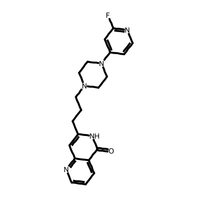 O=c1[nH]c(CCCN2CCN(c3ccnc(F)c3)CC2)cc2ncccc12